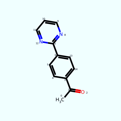 CC(=O)c1ccc(-c2ncccn2)cc1